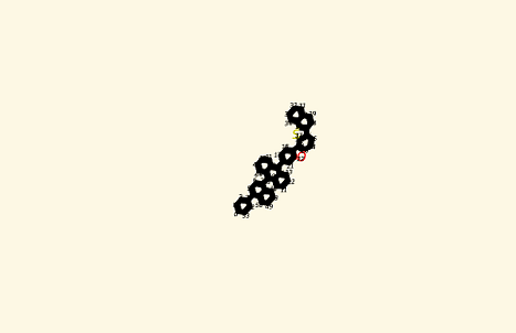 c1ccc(-c2ccc(-c3c4ccccc4c(-c4ccc5c(c4)oc4ccc6c7ccc8ccccc8c7sc6c45)c4ccccc34)c3ccccc23)cc1